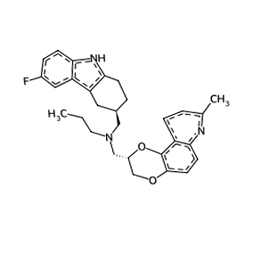 CCCN(C[C@@H]1CCc2[nH]c3ccc(F)cc3c2C1)C[C@H]1COc2ccc3nc(C)ccc3c2O1